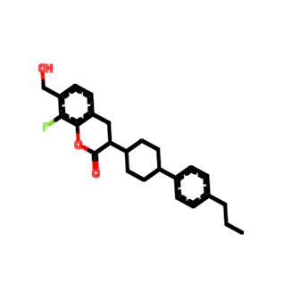 CCCc1ccc(C2CCC(C3Cc4ccc(CO)c(F)c4OC3=O)CC2)cc1